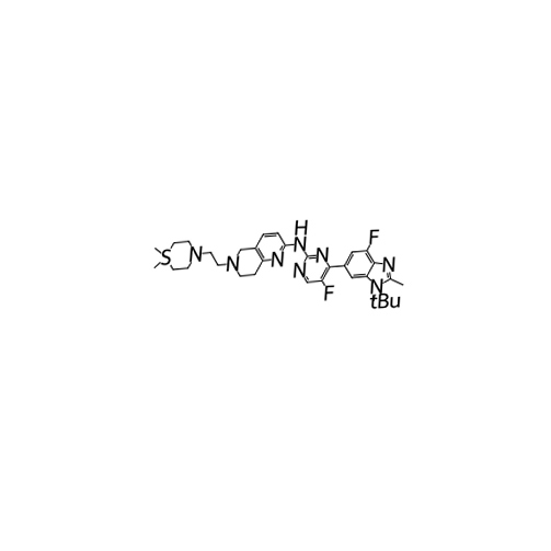 Cc1nc2c(F)cc(-c3nc(Nc4ccc5c(n4)CCN(CCN4CCS(C)(C)CC4)C5)ncc3F)cc2n1C(C)(C)C